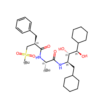 CCCC[C@H](NC(=O)[C@H](Cc1ccccc1)CS(=O)(=O)C(C)(C)C)C(=O)N[C@H](CC1CCCCC1)[C@H](O)[C@H](O)C1CCCCC1